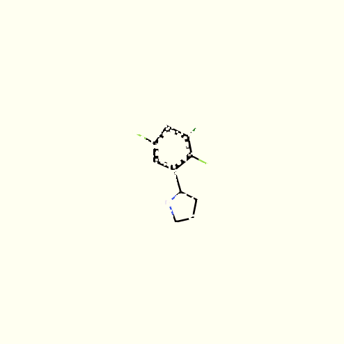 Fc1cc(Cl)c(F)c(C2CCCN2)c1